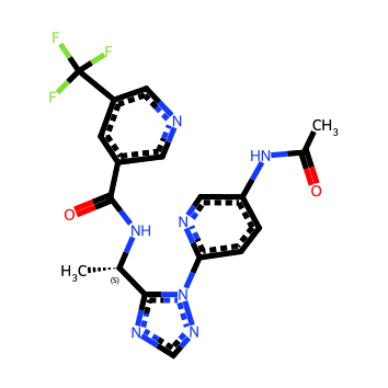 CC(=O)Nc1ccc(-n2ncnc2[C@H](C)NC(=O)c2cncc(C(F)(F)F)c2)nc1